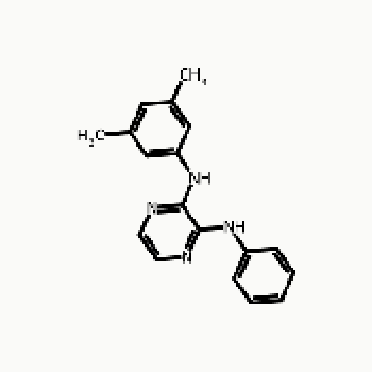 Cc1cc(C)cc(Nc2nccnc2Nc2ccccc2)c1